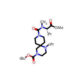 CCCN1CCN(C(=O)OC(C)(C)C)CC12CCN(C(=O)N(C)[C@H](C(=O)OC)C(C)C)CC2